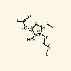 CC[C@H]1C[C@@H](OC(C)=O)[C@H](O)[C@@H]1OCOC